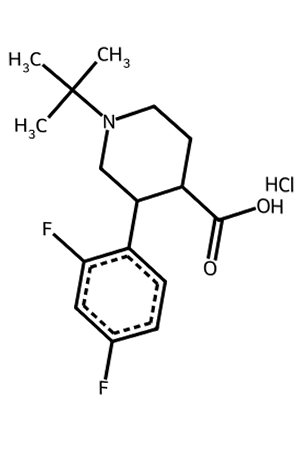 CC(C)(C)N1CCC(C(=O)O)C(c2ccc(F)cc2F)C1.Cl